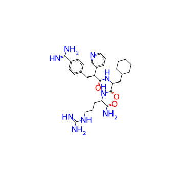 N=C(N)NCCCC(NC(=O)[C@H](CC1CCCCC1)NC(=O)[C@@H](Cc1ccc(C(=N)N)cc1)c1cccnc1)C(N)=O